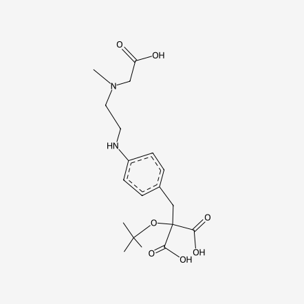 CN(CCNc1ccc(CC(OC(C)(C)C)(C(=O)O)C(=O)O)cc1)CC(=O)O